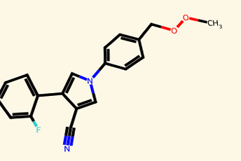 COOCc1ccc(-n2cc(C#N)c(-c3ccccc3F)c2)cc1